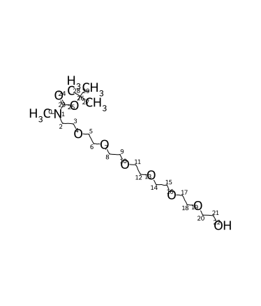 CN(CCOCCOCCOCCOCCOCCOCCO)C(=O)OC(C)(C)C